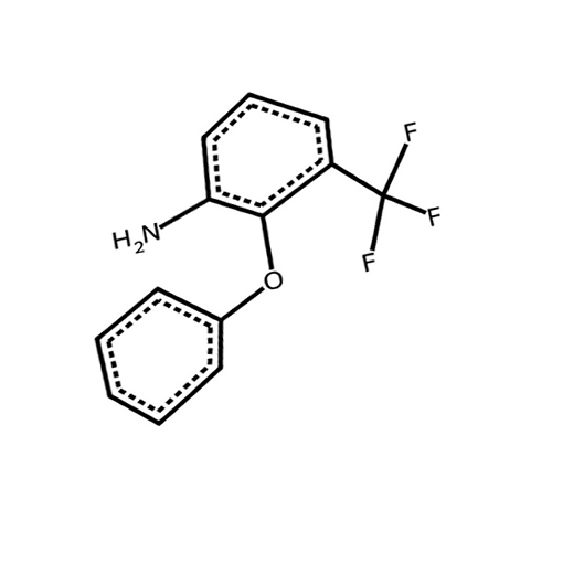 Nc1cccc(C(F)(F)F)c1Oc1ccccc1